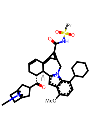 COc1ccc(C2CCCCC2)c2c1cc1n2CC2=C(C(=O)NS(=O)(=O)C(C)C)C2=C2C=CC[C@@H](C(=O)C3CC45CCC4(C3)CN(C)C5)[C@@H]21